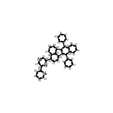 c1ccc(-c2c3c(c(-c4ccccc4)c4ccccc24)-c2ccc(-c4cncc(-c5ccccn5)n4)c4cccc-3c24)cc1